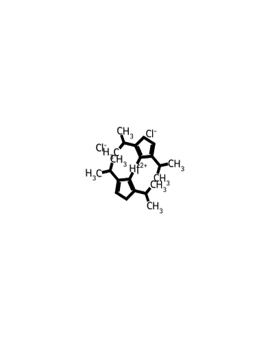 CC(C)C1=CCC(C(C)C)=[C]1[Hf+2][C]1=C(C(C)C)CC=C1C(C)C.[Cl-].[Cl-]